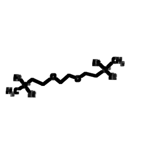 CC[N+](C)(CC)CCOCCOCC[N+](C)(CC)CC